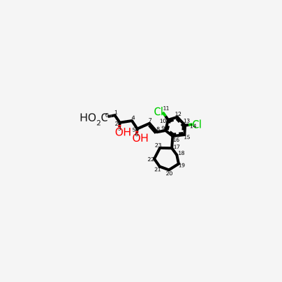 O=C(O)CC(O)CC(O)C=Cc1c(Cl)cc(Cl)cc1C1CCCCCC1